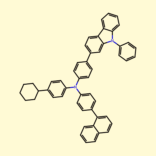 c1ccc(-n2c3ccccc3c3ccc(-c4ccc(N(c5ccc(-c6cccc7ccccc67)cc5)c5ccc(C6CCCCC6)cc5)cc4)cc32)cc1